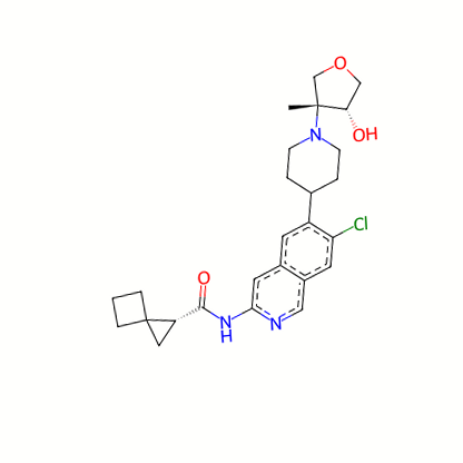 C[C@@]1(N2CCC(c3cc4cc(NC(=O)[C@@H]5CC56CCC6)ncc4cc3Cl)CC2)COC[C@@H]1O